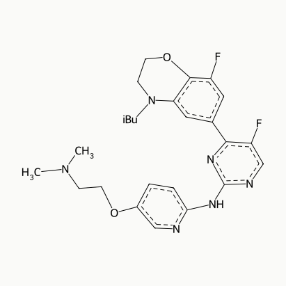 CCC(C)N1CCOc2c(F)cc(-c3nc(Nc4ccc(OCCN(C)C)cn4)ncc3F)cc21